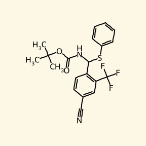 CC(C)(C)OC(=O)NC(Sc1ccccc1)c1ccc(C#N)cc1C(F)(F)F